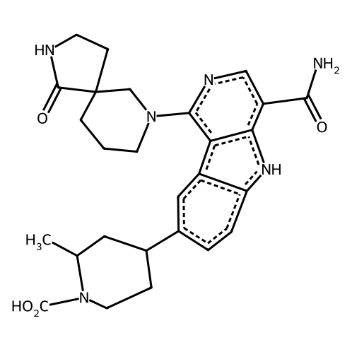 CC1CC(c2ccc3[nH]c4c(C(N)=O)cnc(N5CCCC6(CCNC6=O)C5)c4c3c2)CCN1C(=O)O